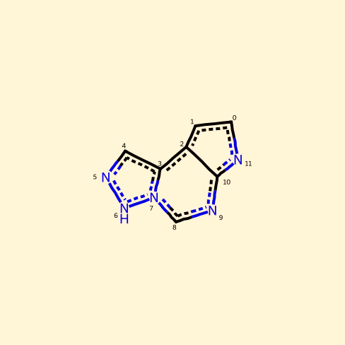 c1cc2c3cn[nH]n3cnc-2n1